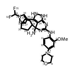 COc1cc(N2CCOCC2)ccc1NC1=NC(N)(C2CCCCC2)C2=C(c3cnn(C(F)F)c3)NNC2=N1